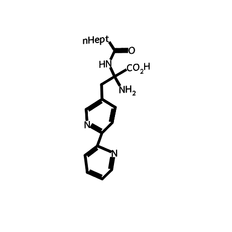 CCCCCCCC(=O)NC(N)(Cc1ccc(-c2ccccn2)nc1)C(=O)O